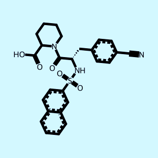 N#Cc1ccc(C[C@H](NS(=O)(=O)c2ccc3ccccc3c2)C(=O)N2CCCCC2C(=O)O)cc1